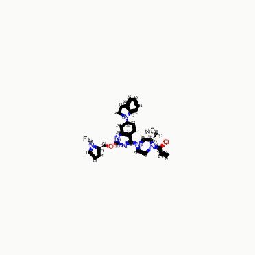 C=CC(=O)N1CCN(c2nc(OC[C@@H]3CCCN3CC)nc3c2CC[C@H](N2CCc4ccccc42)C3)C[C@@H]1CC#N